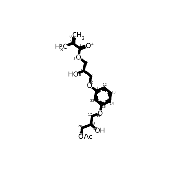 C=C(C)C(=O)OCC(O)COc1cccc(OCC(O)COC(C)=O)c1